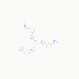 Cc1nnc(-c2cccc(-c3nc(-c4cc(-c5nsc(-c6cccc(-c7nnc(C)o7)c6)n5)cc(-c5nsc(-c6cccc(-c7nnc(C)o7)c6)n5)c4)ns3)c2)o1